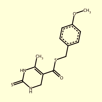 COc1ccc(CSC(=O)C2=C(C)NC(=S)NC2)cc1